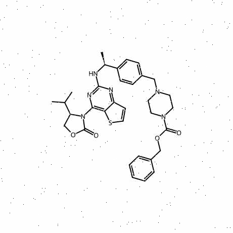 CC(C)C1COC(=O)N1c1nc(N[C@@H](C)c2ccc(CN3CCN(C(=O)OCc4ccccc4)CC3)cc2)nc2ccsc12